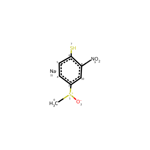 C[S+]([O-])c1ccc(S)c([N+](=O)[O-])c1.[Na]